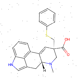 CN1C[C@](CSc2ccccc2)(C(=O)O)C=C2c3cccc4[nH]cc(c34)C[C@H]21